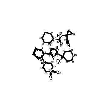 CC1(c2nc(-c3ccccc3N3CCS(=O)(=O)CC3)c([C@@H]3CCCC[C@H]3C(=O)NC3(C#N)CC3)o2)CCOCC1